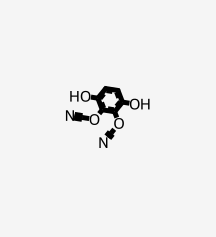 N#COc1c(O)ccc(O)c1OC#N